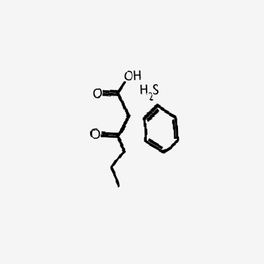 CCCC(=O)CC(=O)O.S.c1ccccc1